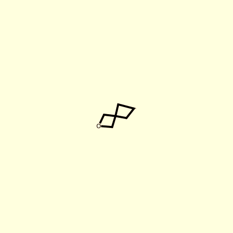 [CH]1CC2(C1)COC2